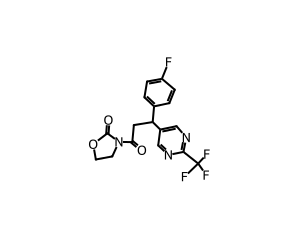 O=C(CC(c1ccc(F)cc1)c1cnc(C(F)(F)F)nc1)N1CCOC1=O